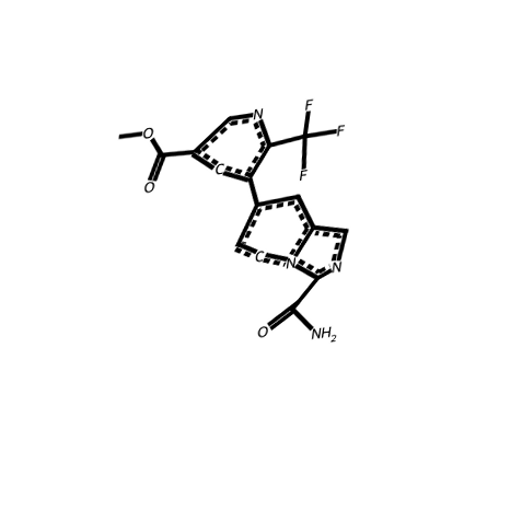 COC(=O)c1cnc(C(F)(F)F)c(-c2ccn3c(C(N)=O)ncc3c2)c1